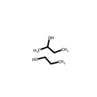 CCC(C)O.CCCO